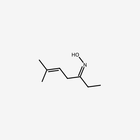 CCC(CC=C(C)C)=NO